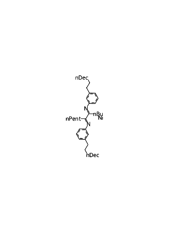 CCCCCCCCCCCCc1cccc(/N=C(CCCC)/C(CCCCC)=N/c2cccc(CCCCCCCCCCCC)c2)c1.[Ni]